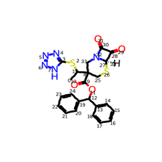 CC(Sc1nnn[nH]1)C1(C(=O)OC(c2ccccc2)c2ccccc2)CS[C@@H]2C(=O)C(=O)N2C1